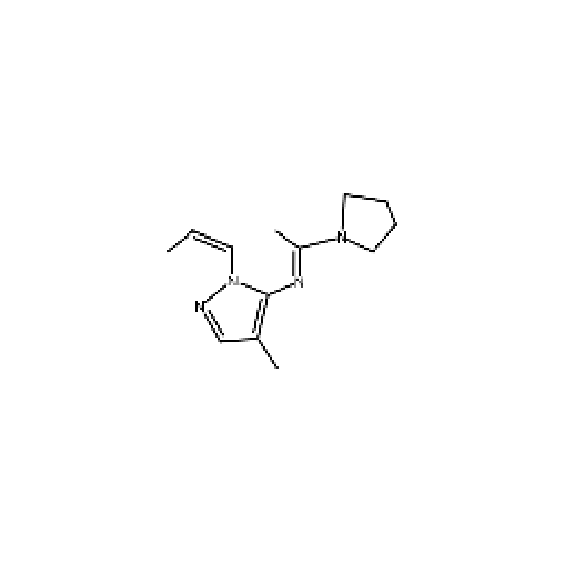 C/C=C\n1ncc(C)c1/N=C(\C)N1CCCC1